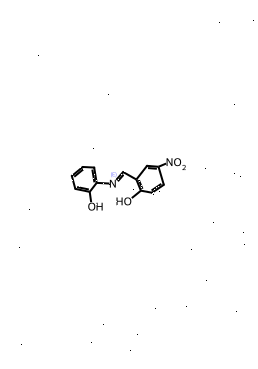 O=[N+]([O-])c1ccc(O)c(/C=N/c2ccccc2O)c1